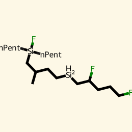 CCCCC[Si](F)(CCCCC)CC(C)CC[SiH2]CC(F)CCCF